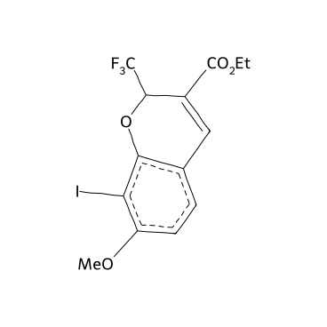 CCOC(=O)C1=Cc2ccc(OC)c(I)c2OC1C(F)(F)F